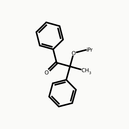 CC(C)OC(C)(C(=O)c1ccccc1)c1ccccc1